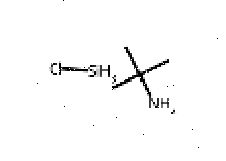 CC(C)(C)N.[SiH3]Cl